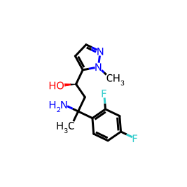 Cn1nccc1[C@H](O)CC(C)(N)c1ccc(F)cc1F